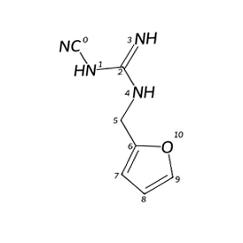 N#CNC(=N)NCc1ccco1